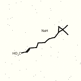 CC1(C)CC1CCCCC/C=C/C(=O)O.[NaH]